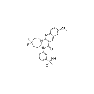 CS(=N)(=O)c1cccc(NC(=O)c2cc3cc(C(F)(F)F)ccc3nc2N2CCCC(F)(F)CC2)c1